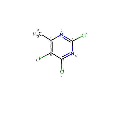 Cc1nc(Cl)nc(Cl)c1F